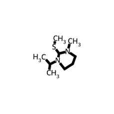 CSC1N(C)CCCN1C(C)C